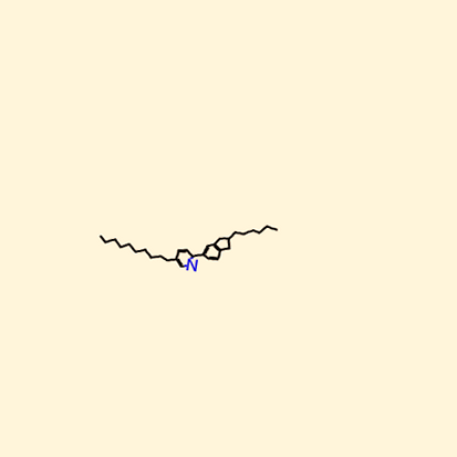 CCCCCCCCCCc1ccc(-c2ccc3c(c2)CC(CCCCCC)C3)nc1